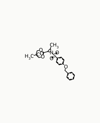 CC1C(C23OCC(C)(CO2)CO3)N1S(=O)(=O)c1ccc(OCc2ccccc2)cc1